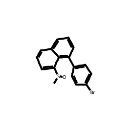 C[S+]([O-])c1cccc2cccc(-c3ccc(Br)cc3)c12